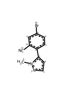 Cn1nccc1-c1ccc(Br)cc1C#N